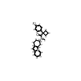 CN(C(=O)C1(c2ccc(F)cc2)CCC1)[C@@H]1CCc2[c]c3ccccn3c2C1